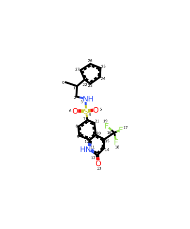 CC(CNS(=O)(=O)c1ccc2[nH]c(=O)cc(C(F)(F)F)c2c1)c1ccccc1